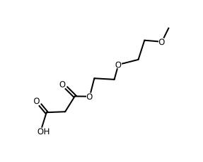 COCCOCCOC(=O)CC(=O)O